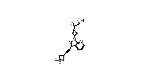 C=CC(=O)N1CC(n2nc(C#CC3CC(F)(F)C3)c3cccnc32)C1